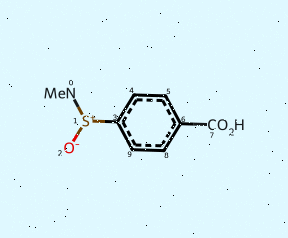 CN[S+]([O-])c1ccc(C(=O)O)cc1